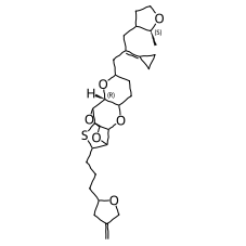 C=C1COC(CCCC2SC3C4OC5CCC(CC(CC6CCO[C@H]6C)=C6CC6)O[C@H]5C3OCOC24)C1